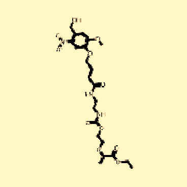 CCOC(=O)C(C)OCCOC(=O)NCCNC(=O)CCCOc1cc([N+](=O)[O-])c(CO)cc1OC